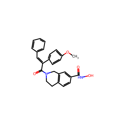 COc1ccc(/C(=C\c2ccccc2)C(=O)N2CCc3ccc(C(=O)NO)cc3C2)cc1